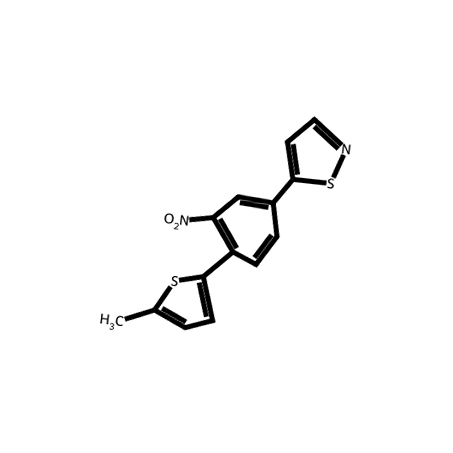 Cc1ccc(-c2ccc(-c3ccns3)cc2[N+](=O)[O-])s1